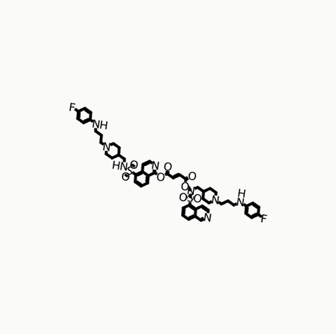 O=C(/C=C/C(=O)ON(CC1CCN(CCCNc2ccc(F)cc2)CC1)S(=O)(=O)c1cccc2cnccc12)Oc1nccc2c(S(=O)(=O)NCC3CCN(CCCNc4ccc(F)cc4)CC3)cccc12